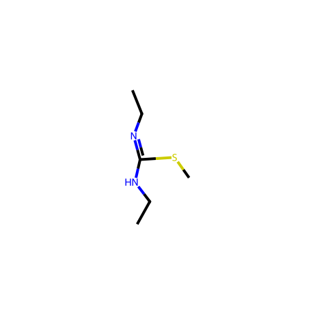 CCN=C(NCC)SC